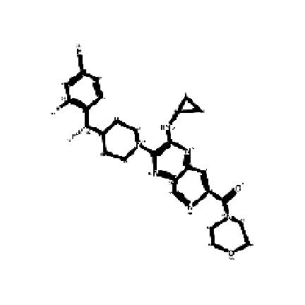 O=C(c1cc2nc(NC3CC3)c(N3CCC([C@H](F)c4ccc(F)cc4F)CC3)nc2cn1)N1CCOCC1